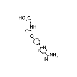 N=C(N)c1cnc(-c2ccc(OCC(=O)NCCC(=O)O)cc2)nc1